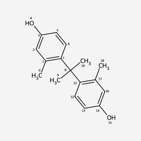 Cc1cc(O)ccc1C(C)(C)c1ccc(O)cc1C